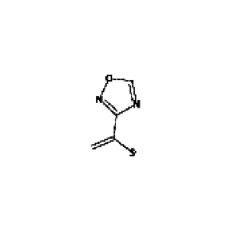 C=C([S])c1ncon1